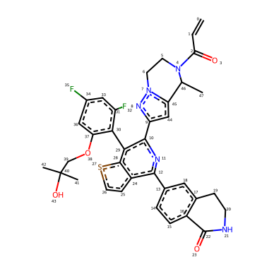 C=CC(=O)N1CCn2nc(-c3nc(-c4ccc5c(c4)CCNC5=O)c4ccsc4c3-c3c(F)cc(F)cc3OCC(C)(C)O)cc2C1C